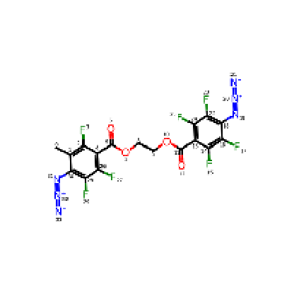 Cc1c(F)c(C(=O)OCCOC(=O)c2c(F)c(F)c(N=[N+]=[N-])c(F)c2F)c(F)c(F)c1N=[N+]=[N-]